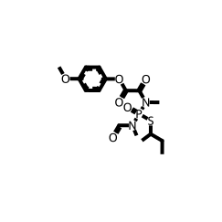 CCC(C)SP(=O)(N(C)C=O)N(C)C(=O)C(=O)Oc1ccc(OC)cc1